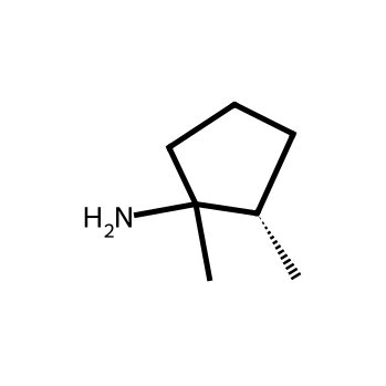 C[C@H]1CCCC1(C)N